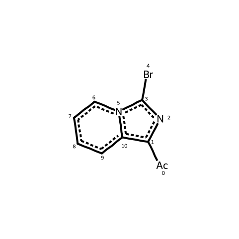 CC(=O)c1nc(Br)n2ccccc12